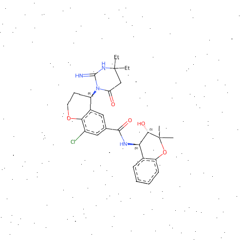 CCC1(CC)CC(=O)N([C@@H]2CCOc3c(Cl)cc(C(=O)N[C@@H]4c5ccccc5OC(C)(C)[C@H]4O)cc32)C(=N)N1